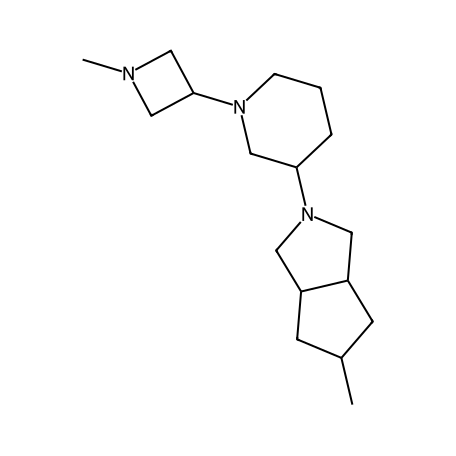 CC1CC2CN(C3CCCN(C4CN(C)C4)C3)CC2C1